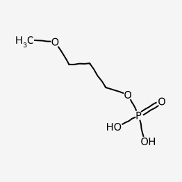 COCCCOP(=O)(O)O